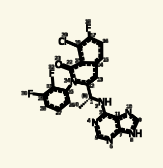 C[C@@H](Nc1ncnc2[nH]cnc12)c1cc2ccc(F)c(Cl)c2c(=O)n1-c1cccc(F)c1F